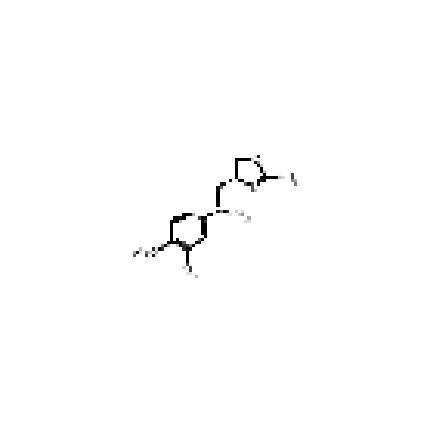 COc1ccc(N(C)C[C@H]2COC(N)=N2)cc1C(F)(F)F